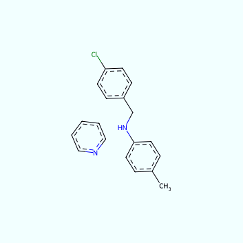 Cc1ccc(NCc2ccc(Cl)cc2)cc1.c1ccncc1